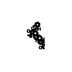 CC(=O)O[C@H]1CC[C@]2(C)[C@H]3CC[C@@H]4C5=C(C(C)C)C(=O)C[C@]5(C(=O)Nc5ccccc5C)CC[C@@]4(C)[C@]3(C)CC[C@H]2C1(C)C